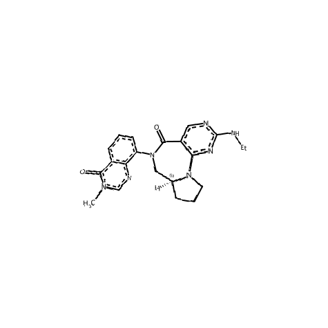 CCNc1ncc2c(n1)N1CCC[C@H]1CN(c1cccc3c(=O)n(C)cnc13)C2=O